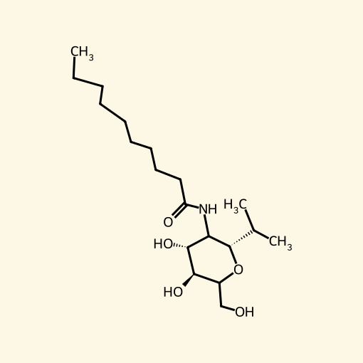 CCCCCCCCCC(=O)NC1[C@H](C(C)C)OC(CO)[C@@H](O)[C@@H]1O